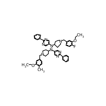 CCOc1cc(CN2CCC(N(c3cnc(-c4ccccc4)nc3)N(c3cnc(-c4ccccc4)nc3)C3CCN(Cc4ccc(F)c(OCC)c4)CC3)CC2)ccc1C